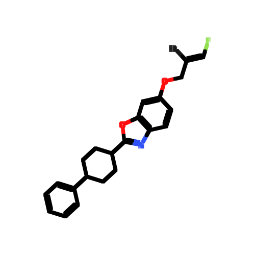 CC/C(=C\F)COc1ccc2nc(C3CCC(c4ccccc4)CC3)oc2c1